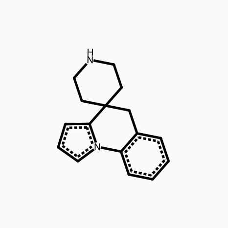 c1ccc2c(c1)CC1(CCNCC1)c1cccn1-2